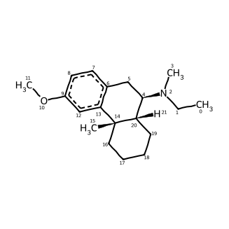 CCN(C)[C@@H]1Cc2ccc(OC)cc2[C@@]2(C)CCCC[C@@H]12